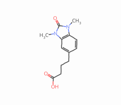 Cn1c(=O)n(C)c2cc(CCCC(=O)O)ccc21